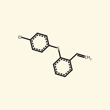 C=Cc1ccccc1Sc1ccc(Cl)cc1